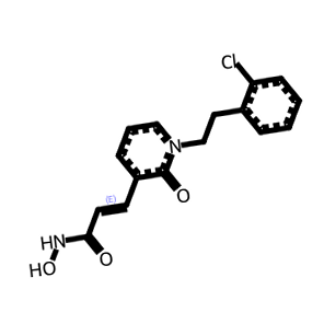 O=C(/C=C/c1cccn(CCc2ccccc2Cl)c1=O)NO